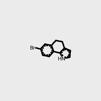 Brc1ccc2c(c1)CCc1cc[nH]c1-2